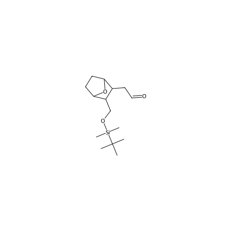 CC(C)(C)[Si](C)(C)OCC1C2CCC(O2)C1CC=O